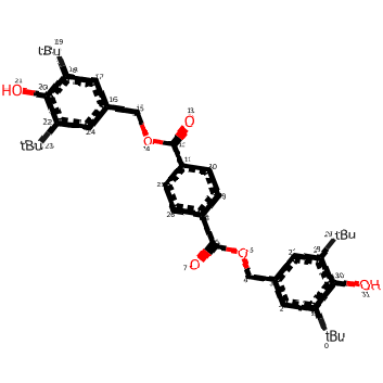 CC(C)(C)c1cc(COC(=O)c2ccc(C(=O)OCc3cc(C(C)(C)C)c(O)c(C(C)(C)C)c3)cc2)cc(C(C)(C)C)c1O